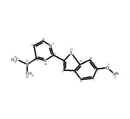 CCCOc1ccc2cc(-c3nccc(N(C)C)n3)sc2c1